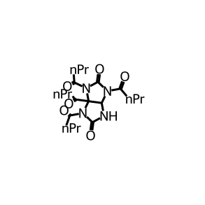 CCCC(=O)N1C(=O)N(C(=O)CCC)C2(C(=O)CCC)C1NC(=O)N2C(=O)CCC